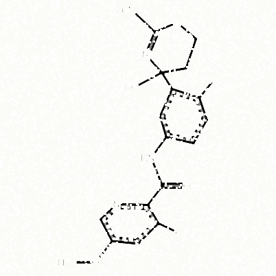 COc1cnc(C(=O)Nc2ccc(F)c(C3(C)CCSC(N)=N3)c2)c(C)c1